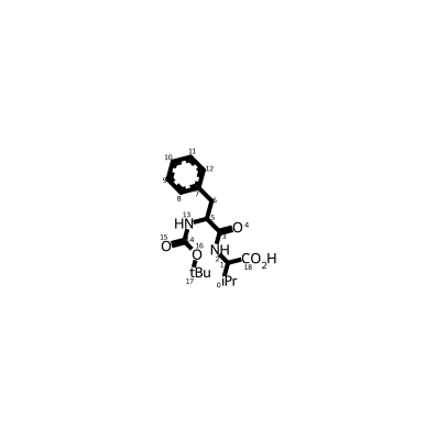 CC(C)C(NC(=O)C(Cc1ccccc1)NC(=O)OC(C)(C)C)C(=O)O